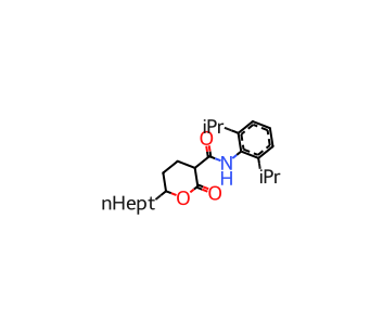 CCCCCCCC1CCC(C(=O)Nc2c(C(C)C)cccc2C(C)C)C(=O)O1